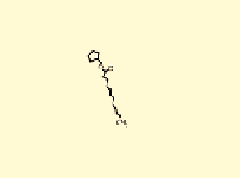 CCCCCCCCCC[CH]C(=O)OCC1CCCC1